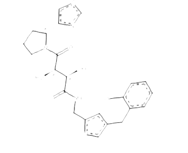 O=C(NCc1cc(Cc2ccccc2Cl)cs1)[C@H](O)[C@@H](O)C(=O)N1CCC[C@@H]1c1cscn1